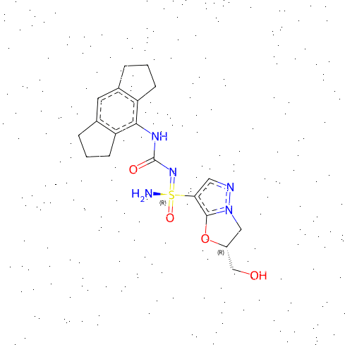 N[S@@](=O)(=NC(=O)Nc1c2c(cc3c1CCC3)CCC2)c1cnn2c1O[C@@H](CO)C2